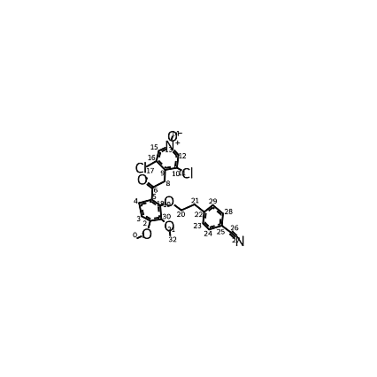 COc1ccc(C(=O)Cc2c(Cl)c[n+]([O-])cc2Cl)c(OCCc2ccc(C#N)cc2)c1OC